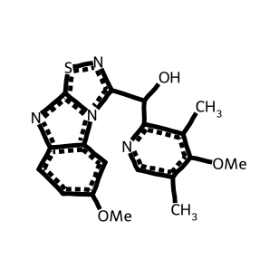 COc1ccc2nc3snc(C(O)c4ncc(C)c(OC)c4C)n3c2c1